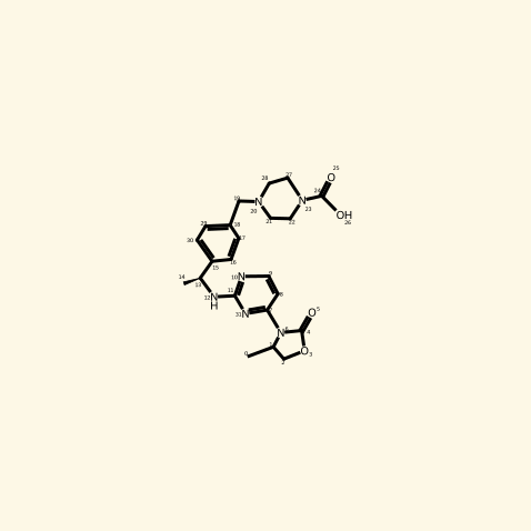 CC1COC(=O)N1c1ccnc(N[C@@H](C)c2ccc(CN3CCN(C(=O)O)CC3)cc2)n1